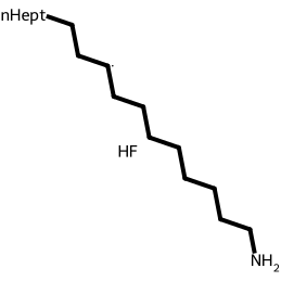 CCCCCCCCC[CH]CCCCCCCCN.F